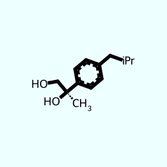 CC(C)Cc1ccc([C@@](C)(O)CO)cc1